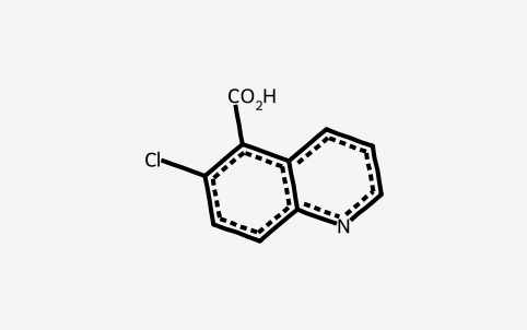 O=C(O)c1c(Cl)ccc2ncccc12